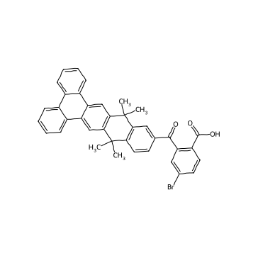 CC1(C)c2ccc(C(=O)c3cc(Br)ccc3C(=O)O)cc2C(C)(C)c2cc3c4ccccc4c4ccccc4c3cc21